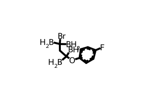 BC(B)(Br)CC(B)(B)Oc1ccc(F)cc1